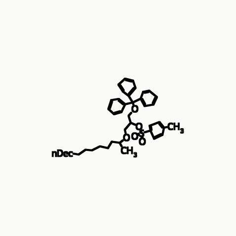 CCCCCCCCCCCCCCCCC(C)OCC(COC(c1ccccc1)(c1ccccc1)c1ccccc1)OS(=O)(=O)c1ccc(C)cc1